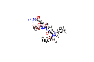 CC(C)Cc1cccc2c1nc(Cn1cccc(NC(=O)[C@H](CC/C=C/C(N)=O)NC(=O)OC3CCOC3)c1=O)n2C(=O)OC(C)(C)C